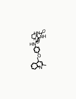 Cc1cc(COc2ccc(NC(=O)[C@@H]3CCC[C@@]34NC(=O)NC4=O)cc2)c2ccccc2n1